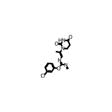 C=N/C(=N\C=C(/C)N1CCC(=O)NC1=O)Oc1cccc(Cl)c1